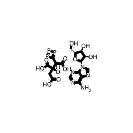 Nc1ncnc2c1ncn2[C@@H]1O[C@H](CO)[C@@H](O)[C@H]1O.O=C(O)CC(O)(C(=O)O)C(C(=O)O)C1=PP=P1